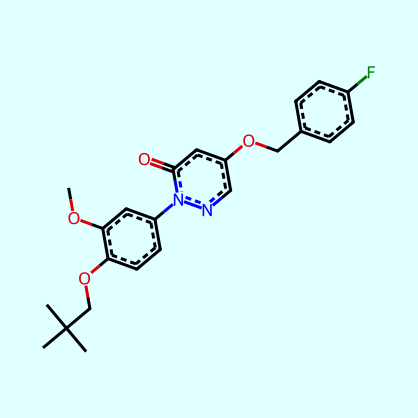 COc1cc(-n2ncc(OCc3ccc(F)cc3)cc2=O)ccc1OCC(C)(C)C